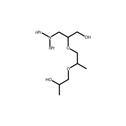 CCCN(CCC)CC(CO)OCC(C)OCC(C)O